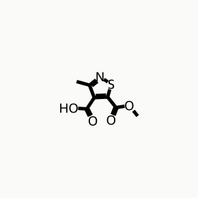 COC(=O)c1snc(C)c1C(=O)O